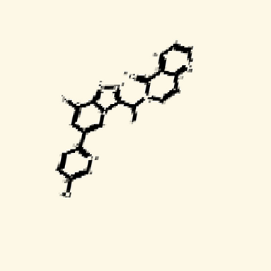 CC(c1nnc2c(F)cc(-c3ccc(Cl)cn3)cn12)n1ccc2ncccc2c1=O